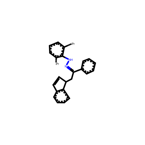 CC(C)c1cccc(C(C)C)c1NN=C(CC1C=Cc2ccccc21)c1ccccc1